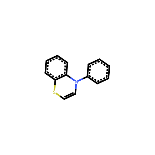 C1=CN(c2ccccc2)c2ccccc2S1